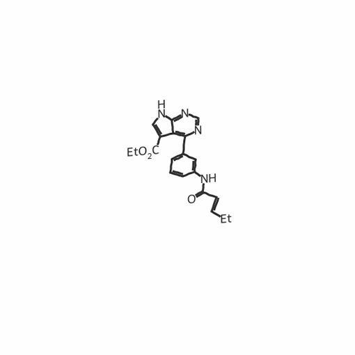 CCC=CC(=O)Nc1cccc(-c2ncnc3[nH]cc(C(=O)OCC)c23)c1